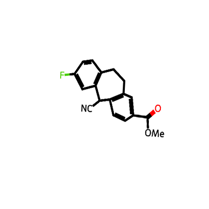 COC(=O)c1ccc2c(c1)CCc1ccc(F)cc1C2C#N